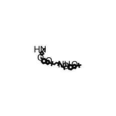 CN[C@H]1C[C@H](Oc2ccc3cc(C(C)(C)CCC(C)(C)NCC(C)Oc4ccc5cc(C(C)(C)C)oc5c4)oc3c2)C1